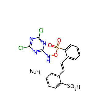 O=S(=O)(O)c1ccccc1C=Cc1ccccc1S(=O)(=O)ONc1nc(Cl)nc(Cl)n1.[NaH]